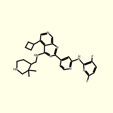 CC1(C)CNCCC1CNc1nc(-c2ccnc(Nc3nc(F)ccc3F)c2)nc2cncc(C3CCC3)c12